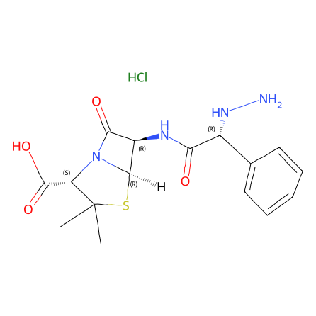 CC1(C)S[C@@H]2[C@H](NC(=O)[C@H](NN)c3ccccc3)C(=O)N2[C@H]1C(=O)O.Cl